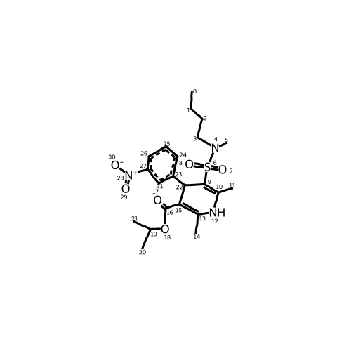 CCCCN(C)S(=O)(=O)C1=C(C)NC(C)=C(C(=O)OC(C)C)C1c1cccc([N+](=O)[O-])c1